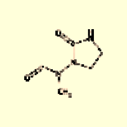 CN(C=O)N1CCNC1=O